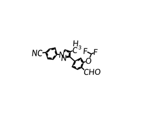 Cc1cn(-c2ccc(C#N)cc2)nc1-c1ccc(C=O)c(OC(F)F)c1